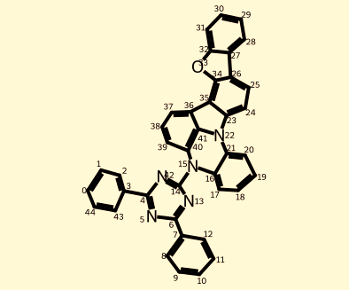 c1ccc(-c2nc(-c3ccccc3)nc(N3c4ccccc4-n4c5ccc6c7ccccc7oc6c5c5cccc3c54)n2)cc1